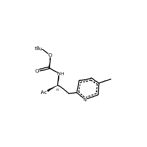 CC(=O)[C@H](Cc1ccc(C)cn1)NC(=O)OC(C)(C)C